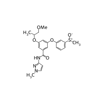 COCC(C)Oc1cc(Oc2cccc([S+](C)[O-])c2)cc(C(=O)Nc2ccn(C)n2)c1